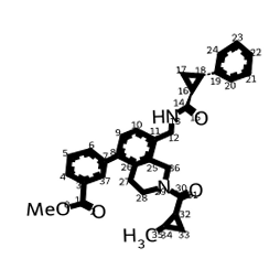 COC(=O)c1cccc(-c2ccc(CNC(=O)[C@H]3C[C@@H]3c3ccccc3)c3c2CCN(C(=O)C2CC2C)C3)c1